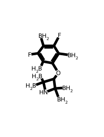 Bc1c(F)c(B)c(OC2C(B)(B)NC2(B)B)c(B)c1F